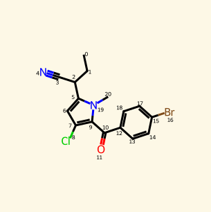 CCC(C#N)c1cc(Cl)c(C(=O)c2ccc(Br)cc2)n1C